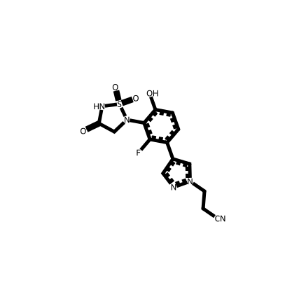 N#CCCn1cc(-c2ccc(O)c(N3CC(=O)NS3(=O)=O)c2F)cn1